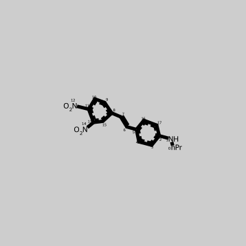 CCCNc1ccc(C=Cc2ccc([N+](=O)[O-])c([N+](=O)[O-])c2)cc1